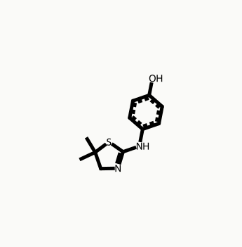 CC1(C)CN=C(Nc2ccc(O)cc2)S1